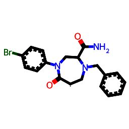 NC(=O)C1CN(c2ccc(Br)cc2)C(=O)[CH]CN1Cc1ccccc1